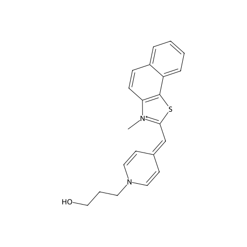 C[n+]1c(C=C2C=CN(CCCO)C=C2)sc2c3ccccc3ccc21